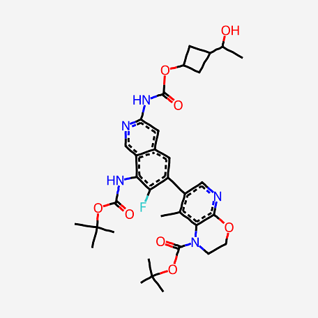 Cc1c(-c2cc3cc(NC(=O)OC4CC(C(C)O)C4)ncc3c(NC(=O)OC(C)(C)C)c2F)cnc2c1N(C(=O)OC(C)(C)C)CCO2